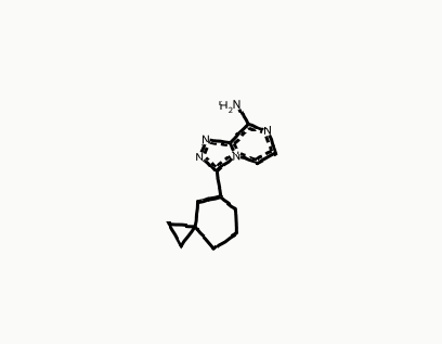 Nc1nccn2c(C3CCCC4(CC4)C3)nnc12